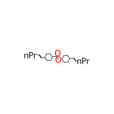 CCCC=CC1CCC(OC(=O)C2CCC(C=CCCC)CC2)CC1